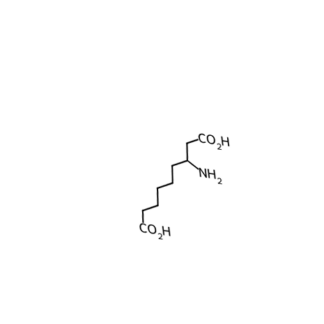 NC(CCCCCC(=O)O)CC(=O)O